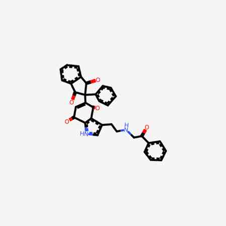 O=C(CNCCc1c[nH]c2c1C(=O)C(C1(c3ccccc3)C(=O)c3ccccc3C1=O)=CC2=O)c1ccccc1